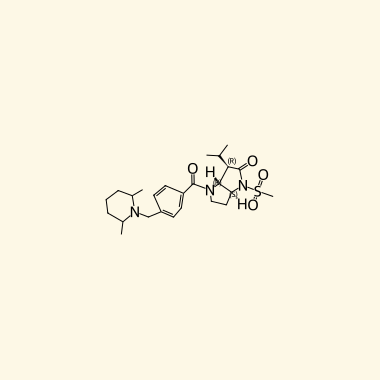 CC(C)[C@H]1C(=O)N(S(C)(=O)=O)[C@H]2CCN(C(=O)c3ccc(CN4C(C)CCCC4C)cc3)[C@H]12